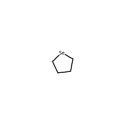 [CH]1CCC[Se]1